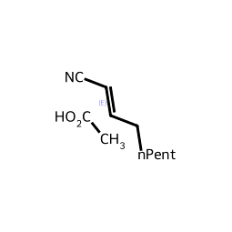 CC(=O)O.CCCCCC/C=C/C#N